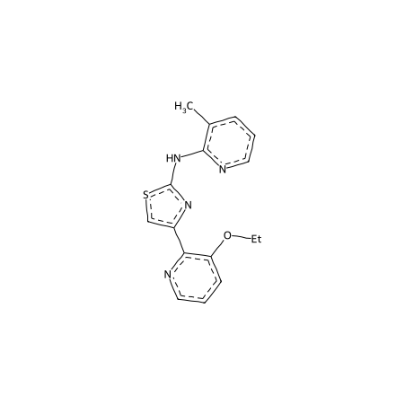 CCOc1cccnc1-c1csc(Nc2ncccc2C)n1